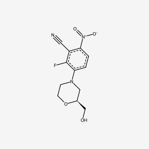 N#Cc1c([N+](=O)[O-])ccc(N2CCO[C@H](CO)C2)c1F